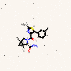 COc1nc(C(=O)N2C[C@H]3C[C@H]3[C@H]2C(N)=O)c(-c2cccc(C)c2)s1